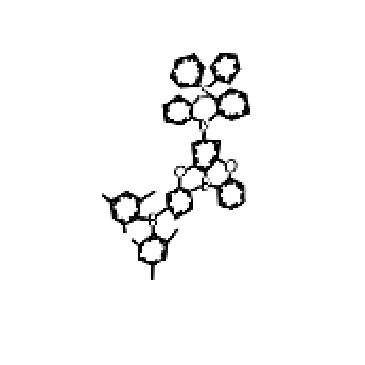 Cc1cc(C)c(B(c2ccc3c(c2)Oc2cc(N4c5ccccc5S(c5ccccc5)(c5ccccc5)c5ccccc54)cc4c2B3c2ccccc2O4)c2c(C)cc(C)cc2C)c(C)c1